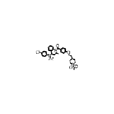 CC(=O)N(c1ccc(Cl)cc1)C1CC(C)N(C(=O)c2ccc(OCCC3CCN(S(C)(=O)=O)CC3)cc2)c2ccccc21